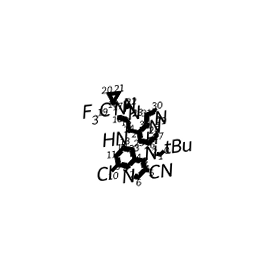 CC(C)(C)CNc1c(C#N)cnc2c(Cl)cc(NC(c3cn(C4(C(F)(F)F)CC4)nn3)c3cccn4nccc34)cc12